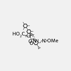 COC1CN(CCc2nn([C@@H](CC(C)C)C(=O)CC[C@@H](CC(=O)O)c3cc(-c4c(C)cc(C)cc4C)cc(C)c3F)c(=O)cc2C2CC2)C1